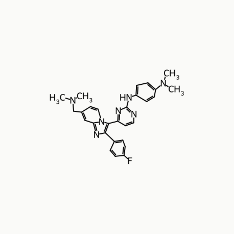 CN(C)Cc1ccn2c(-c3ccnc(Nc4ccc(N(C)C)cc4)n3)c(-c3ccc(F)cc3)nc2c1